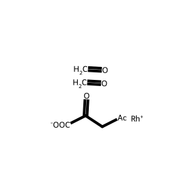 C=O.C=O.CC(=O)CC(=O)C(=O)[O-].[Rh+]